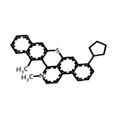 Cc1c2c(cc3ccccc13)Sc1cc3c(C4CCCC4)cccc3c3cc[n+](C)c-2c13